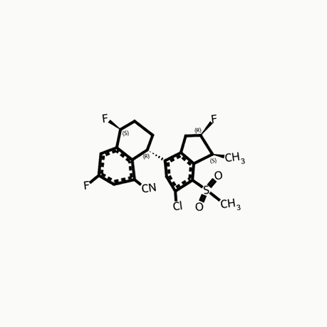 C[C@H]1c2c(c([C@H]3CC[C@H](F)c4cc(F)cc(C#N)c43)cc(Cl)c2S(C)(=O)=O)C[C@H]1F